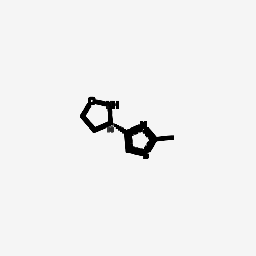 Cc1nc([C@@H]2CCON2)cs1